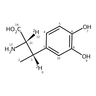 [2H][C@](C)(c1ccc(O)c(O)c1)[C@]([2H])(N)C(=O)O